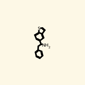 NC(Cc1ccccc1)c1ccc2sccc2c1